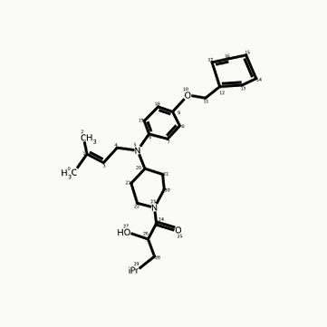 CC(C)=CCN(c1ccc(OCc2ccccc2)cc1)C1CCN(C(=O)C(O)CC(C)C)CC1